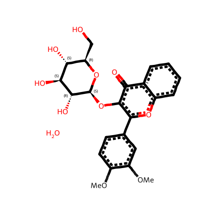 COc1ccc(-c2oc3ccccc3c(=O)c2O[C@@H]2O[C@H](CO)[C@@H](O)[C@H](O)[C@H]2O)cc1OC.O